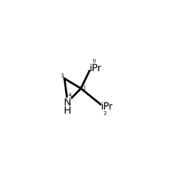 CC(C)C1(C(C)C)CN1